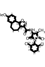 COc1ccc2c(c1)CCCc1c(C(=O)Nc3c(C)n(C)n(-c4c(Cl)cccc4Cl)c3=O)noc1-2